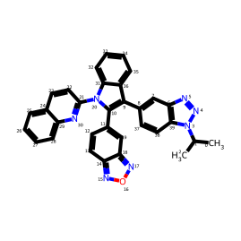 CC(C)n1nnc2cc(-c3c(-c4ccc5nonc5c4)n(-c4ccc5ccccc5n4)c4c[c]ccc34)ccc21